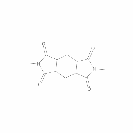 CN1C(=O)C2CC3C(=O)N(C)C(=O)C3CC2C1=O